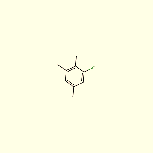 Cc1[c]c(C)c(C)c(Cl)c1